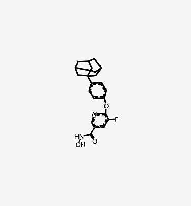 O=C(NO)c1cnc(Oc2ccc(C34CC5CC(CC(C5)C3)C4)cc2)c(F)c1